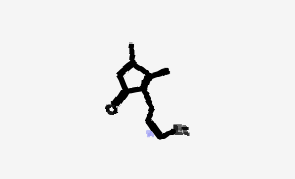 CC/C=C\CC1=C(C)C(C)CC1=O